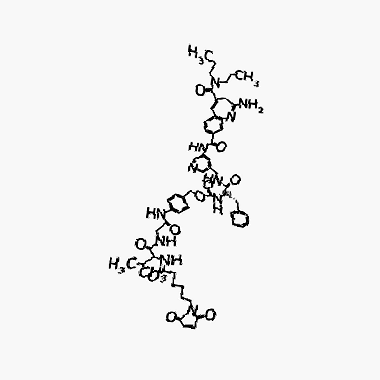 CCCN(CCC)C(=O)C1=Cc2ccc(C(=O)Nc3cncc(CNC(=O)[C@H](Cc4ccccc4)NC(=O)OCc4ccc(NC(=O)CNC(=O)C(NC(=O)CCCCCN5C(=O)C=CC5=O)C(C)C)cc4)c3)cc2N=C(N)C1